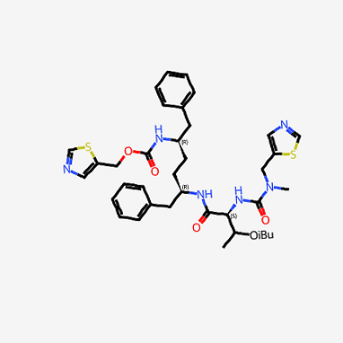 CC(C)COC(C)[C@H](NC(=O)N(C)Cc1cncs1)C(=O)N[C@H](CC[C@H](Cc1ccccc1)NC(=O)OCc1cncs1)Cc1ccccc1